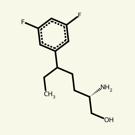 CCC(CC[C@H](N)CO)c1cc(F)cc(F)c1